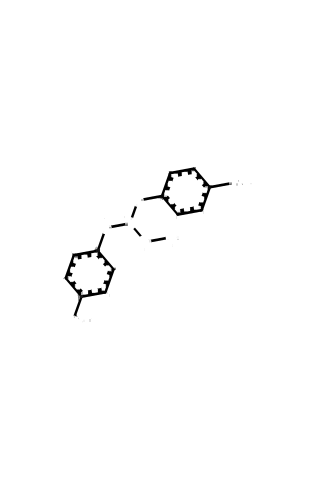 CCCCCCCCCc1ccc(OP(Oc2ccc(CCCCCCCCC)cc2)OC(C)(C)C)cc1